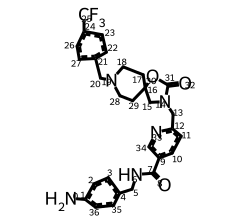 Nc1ccc(CNC(=O)c2ccc(CN3CC4(CCN(Cc5ccc(C(F)(F)F)cc5)CC4)OC3=O)nc2)cc1